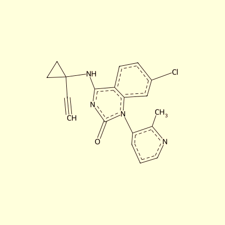 C#CC1(Nc2nc(=O)n(-c3cccnc3C)c3cc(Cl)ccc23)CC1